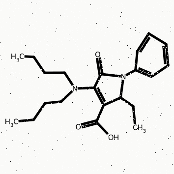 CCCCN(CCCC)C1=C(C(=O)O)C(CC)N(c2ccccc2)C1=O